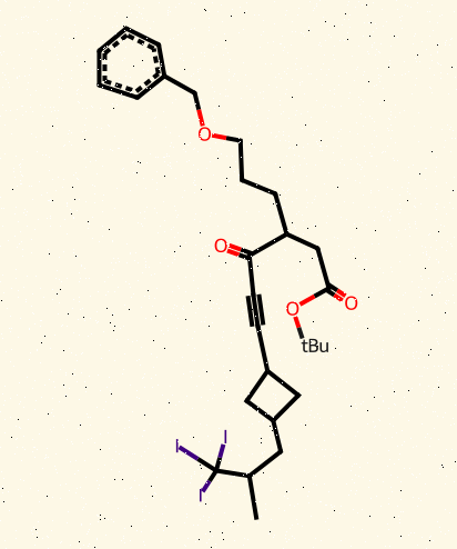 CC(CC1CC(C#CC(=O)C(CCCOCc2ccccc2)CC(=O)OC(C)(C)C)C1)C(I)(I)I